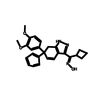 COc1ccc(C2(c3ccccc3)C=Cc3c(C(=NO)C4CCC4)n[nH]c3C2)cc1OC